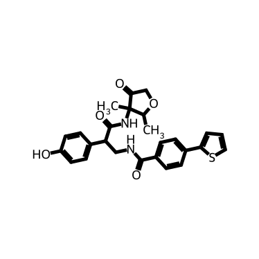 CC1OCC(=O)C1(C)NC(=O)C(CNC(=O)c1ccc(-c2cccs2)cc1)c1ccc(O)cc1